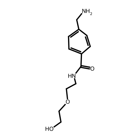 NCc1ccc(C(=O)NCCOCCO)cc1